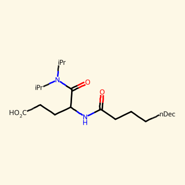 CCCCCCCCCCCCCC(=O)NC(CCC(=O)O)C(=O)N(C(C)C)C(C)C